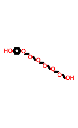 OCCOCCOCCOCCOCCOCCOc1ccc(O)cc1